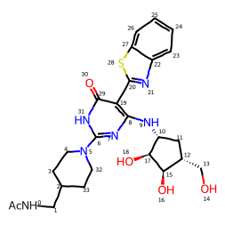 CC(=O)NCC1CCN(c2nc(N[C@@H]3C[C@H](CO)[C@@H](O)[C@H]3O)c(-c3nc4ccccc4s3)c(=O)[nH]2)CC1